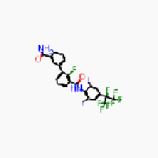 NC(=O)c1cccc(-c2cccc(C(=O)Nc3c(I)cc(C(F)(C(F)(F)F)C(F)(F)F)cc3I)c2F)c1